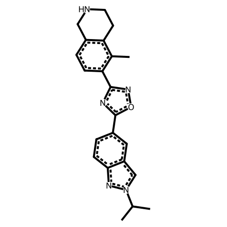 Cc1c(-c2noc(-c3ccc4nn(C(C)C)cc4c3)n2)ccc2c1CCNC2